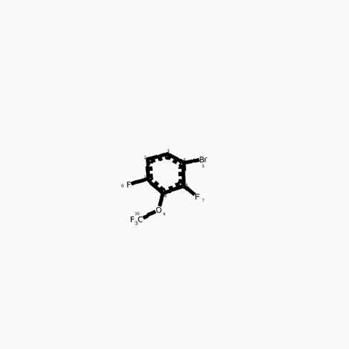 Fc1ccc(Br)c(F)c1OC(F)(F)F